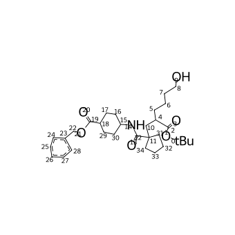 CC(C)(C)OC(=O)C(CCCCO)CC1(C(=O)NC2CCC(C(=O)OCc3ccccc3)CC2)CCCC1